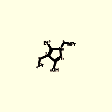 CCc1c(CC(C)C)c(O)nn1CC(C)C